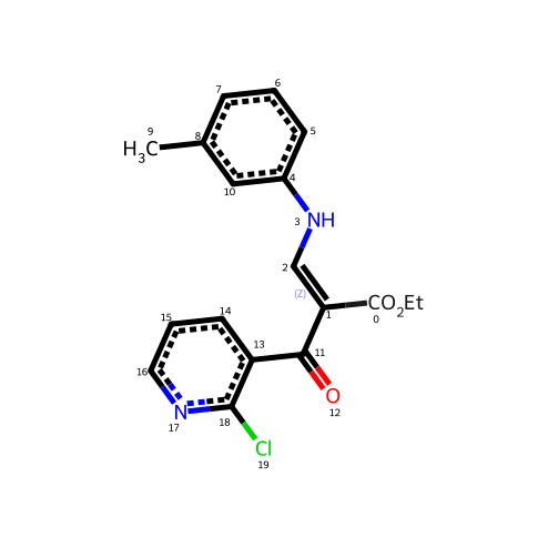 CCOC(=O)/C(=C\Nc1cccc(C)c1)C(=O)c1cccnc1Cl